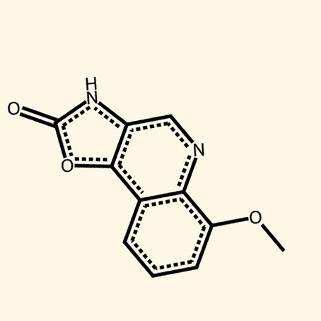 COc1cccc2c1ncc1[nH]c(=O)oc12